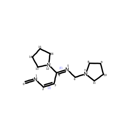 C=N/C=C\C(=N/CN1CCCC1)N1CCCC1